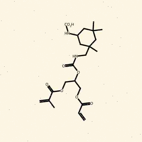 C=CC(=O)OCC(COC(=O)C(=C)C)OC(=O)NCC1(C)CC(NC(=O)O)CC(C)(C)C1